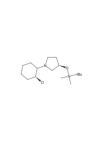 CC(C)(C)[Si](C)(C)O[C@@H]1CCN(C2CCCC[C@@H]2Cl)C1